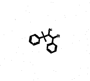 CCC(c1ccccc1)C(C(C)=O)C(C)(C)c1ccccc1